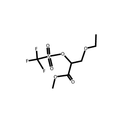 CCOCC(OS(=O)(=O)C(F)(F)F)C(=O)OC